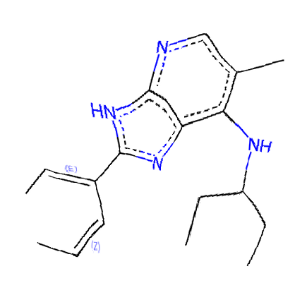 C/C=C\C(=C/C)c1nc2c(NC(CC)CC)c(C)cnc2[nH]1